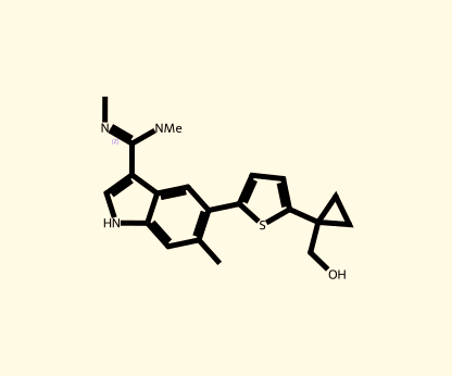 C/N=C(\NC)c1c[nH]c2cc(C)c(-c3ccc(C4(CO)CC4)s3)cc12